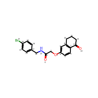 O=C(COc1ccc2c(c1)CCCC2=O)NCc1ccc(Br)cc1